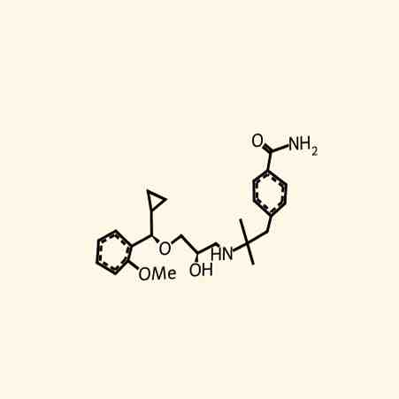 COc1ccccc1[C@H](OC[C@H](O)CNC(C)(C)Cc1ccc(C(N)=O)cc1)C1CC1